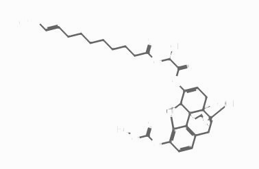 CCCCCCCCC=CCCCCCCCC(=O)O[C@@H](C)C(=O)OC1=CC[C@]2(O)C3Cc4ccc(OC(=O)OC(C)(C)C)c5c4[C@@]2(CCN3C)[C@H]1O5